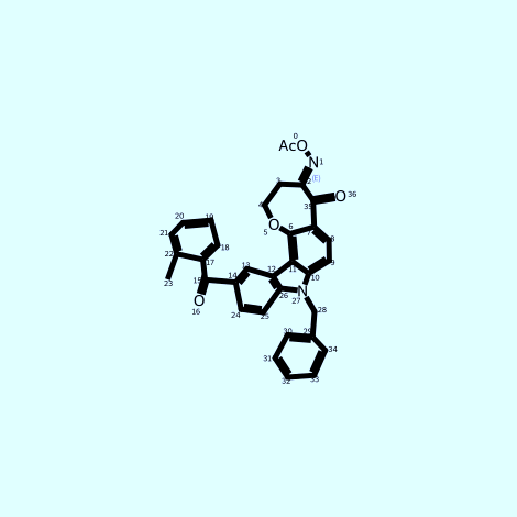 CC(=O)O/N=C1\CCOc2c(ccc3c2c2cc(C(=O)c4ccccc4C)ccc2n3Cc2ccccc2)C1=O